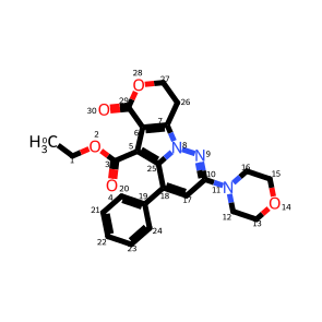 CCOC(=O)c1c2c(n3nc(N4CCOCC4)cc(-c4ccccc4)c13)CCOC2=O